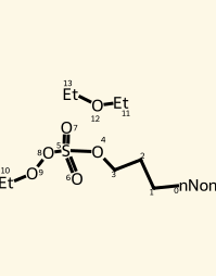 CCCCCCCCCCCCOS(=O)(=O)OOCC.CCOCC